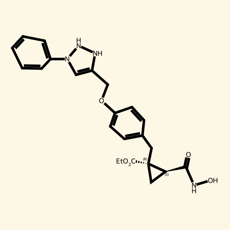 CCOC(=O)[C@@]1(Cc2ccc(OCC3=CN(c4ccccc4)NN3)cc2)C[C@@H]1C(=O)NO